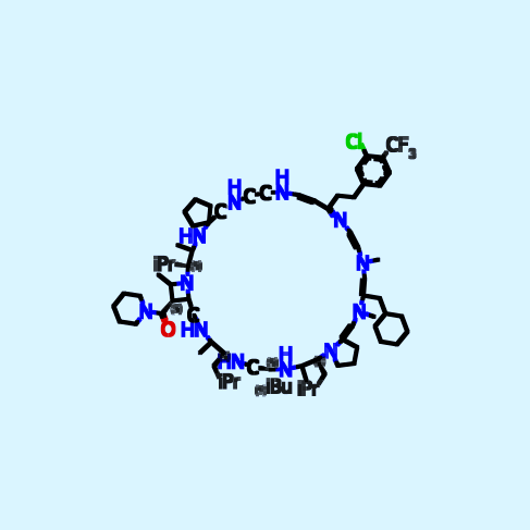 CC[C@H](C)[C@H]1CN[C@@H](CC(C)C)C(C)NCC2[C@@H](C(=O)N3CCCCC3)C(C)N2[C@@H](C(C)C)C(C)NC2(CCCC2)CNCCNC=CC(CCc2ccc(C(F)(F)F)c(Cl)c2)=NC=CN(C)C=C(CC2CCCCC2)N(C)C=C2CCCN2[C@@H](CC(C)C)C(C)N1